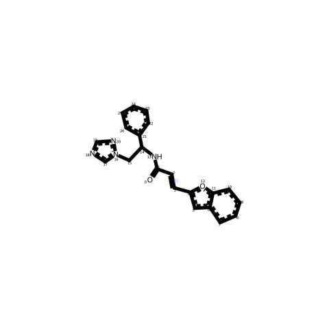 O=C(/C=C/c1cc2ccccc2o1)NC(Cn1cncn1)c1ccccc1